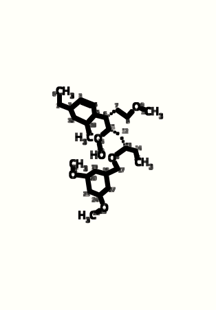 CCC1C=CC([C@H](CCOC)[C@H](C[C@H](CC)OCC2CC(OC)CC(OC)C2)OO)C(C)C1